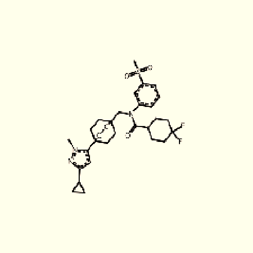 Cn1nc(C2CC2)cc1C12CCC(CN(C(=O)C3CCC(F)(F)CC3)c3cccc(S(C)(=O)=O)c3)(CC1)CC2